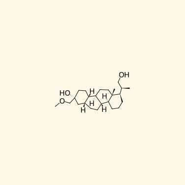 COC[C@@]1(O)CC[C@H]2[C@H](CC[C@@H]3[C@@H]2CC[C@]2(C)[C@@H]([C@H](C)CO)CCC[C@@H]32)C1